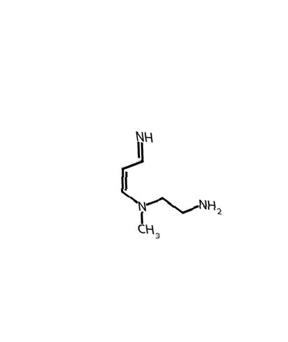 CN(/C=C\C=N)CCN